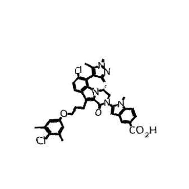 Cc1cc(OCCCc2c3n(c4c(-c5c(C)nn(C)c5C)c(Cl)ccc24)[C@H](C)CN(c2cc4cc(C(=O)O)ccc4n2C)C3=O)cc(C)c1Cl